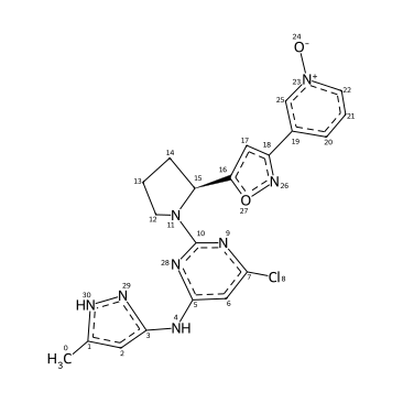 Cc1cc(Nc2cc(Cl)nc(N3CCC[C@H]3c3cc(-c4ccc[n+]([O-])c4)no3)n2)n[nH]1